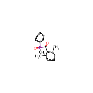 Cc1cccc(C)c1C(=O)P(C)(=O)c1ccccc1